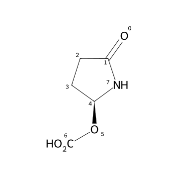 O=C1CC[C@H](OC(=O)O)N1